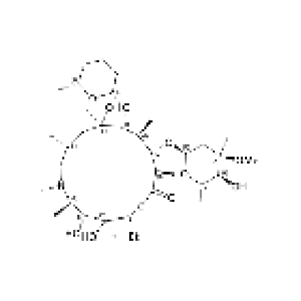 CC[C@H]1OC(=O)[C@H](C)[C@@H](O[C@H]2C[C@@](C)(OC)[C@@H](O)[C@H](C)O2)[C@H](C)[C@@H](O[C@H]2CCC[C@@H](C)O2)[C@](C)(O)C[C@@H](C)CN(C)[C@H](C)[C@@H](O)[C@]1(C)O